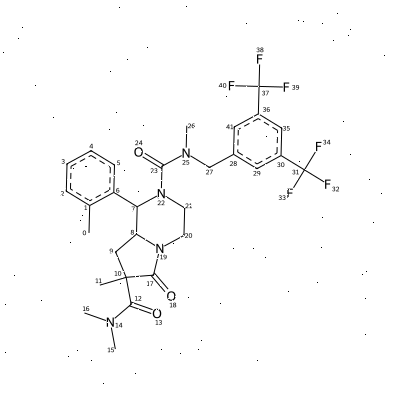 Cc1ccccc1C1C2CC(C)(C(=O)N(C)C)C(=O)N2CCN1C(=O)N(C)Cc1cc(C(F)(F)F)cc(C(F)(F)F)c1